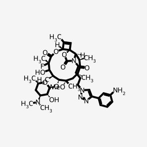 CO[C@@]1(C)C[C@@H](C)C(=O)[C@H](C)[C@H]2N(CCCCn3cc(-c4cccc(N)c4)nn3)C(=O)O[C@@]23C=C(C)[C@H]3OC(=O)[C@@](C)(F)C(O)[C@H](C)[C@H]1O[C@@H]1O[C@H](C)C[C@H](N(C)C)[C@H]1O